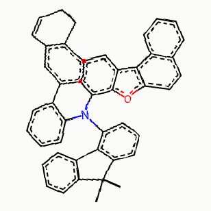 CC1(C)c2ccccc2-c2c(N(c3ccccc3-c3ccc4c(c3)C=CCC4)c3cccc4c3oc3ccc5ccccc5c34)cccc21